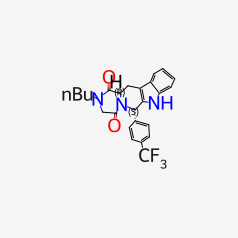 CCCCN1CC(=O)N2[C@@H](c3ccc(C(F)(F)F)cc3)c3[nH]c4ccccc4c3C[C@@H]2C1=O